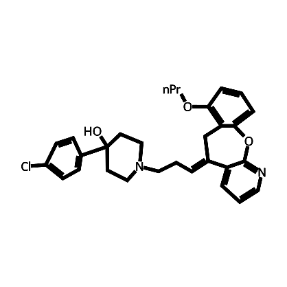 CCCOc1cccc2c1CC(=CCCN1CCC(O)(c3ccc(Cl)cc3)CC1)c1cccnc1O2